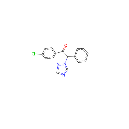 O=C(c1ccc(Cl)cc1)C(c1ccccc1)n1cncn1